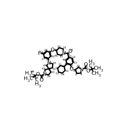 CC(C)(C)OC(=O)N1CC[C@H](Oc2ccc(C(=O)N3CCC(Oc4cc(F)cc(N5CCC6(CCN(C(=O)OC(C)(C)C)C6)C5)c4)CC3)cc2C2CCCCC2)C1